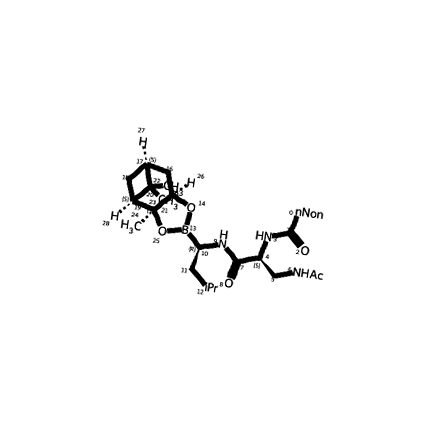 CCCCCCCCCC(=O)N[C@@H](CNC(C)=O)C(=O)N[C@@H](CC(C)C)B1O[C@@H]2C[C@@H]3C[C@@H](C3(C)C)[C@]2(C)O1